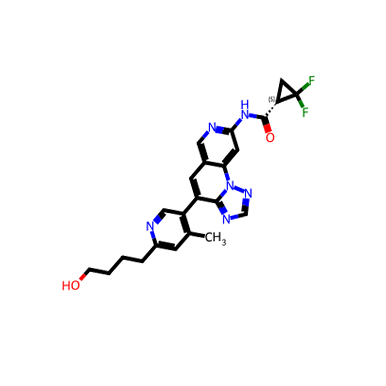 Cc1cc(CCCCO)ncc1-c1cc2cnc(NC(=O)[C@@H]3CC3(F)F)cc2n2ncnc12